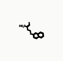 CC=C(CCSc1ccc2ccccc2c1)C(=O)O